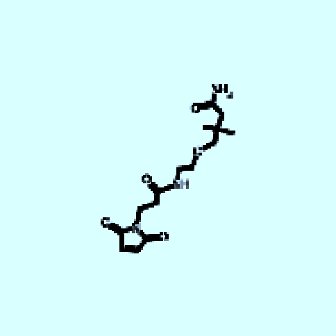 CC(C)(COCCNC(=O)CCN1C(=O)C=CC1=O)CC(N)=O